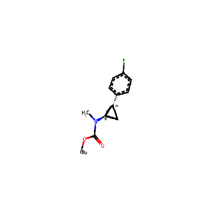 CN(C(=O)OC(C)(C)C)[C@@H]1C[C@H]1c1ccc(F)cc1